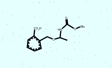 [CH2]C(NC(=O)OC(C)(C)C)OCc1ccccc1C(=O)O